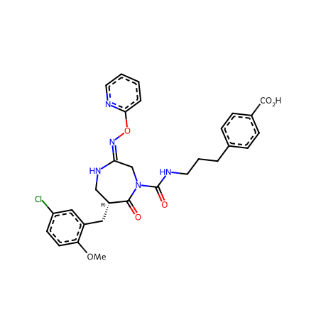 COc1ccc(Cl)cc1C[C@@H]1CNC(=NOc2ccccn2)CN(C(=O)NCCCc2ccc(C(=O)O)cc2)C1=O